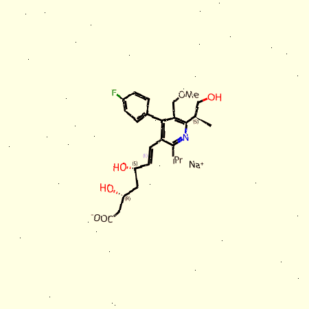 COCc1c([C@H](C)CO)nc(C(C)C)c(/C=C/[C@@H](O)C[C@@H](O)CC(=O)[O-])c1-c1ccc(F)cc1.[Na+]